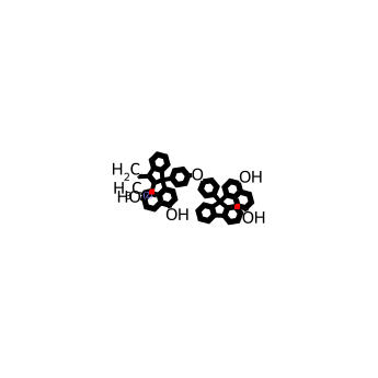 C=CC1=C(/C=C\C)C(c2ccc(Oc3ccc(C4(c5ccc(O)c6ccc(O)cc56)c5ccccc5-c5ccccc54)cc3)cc2)(c2ccc(O)c3ccc(O)cc23)c2ccccc21